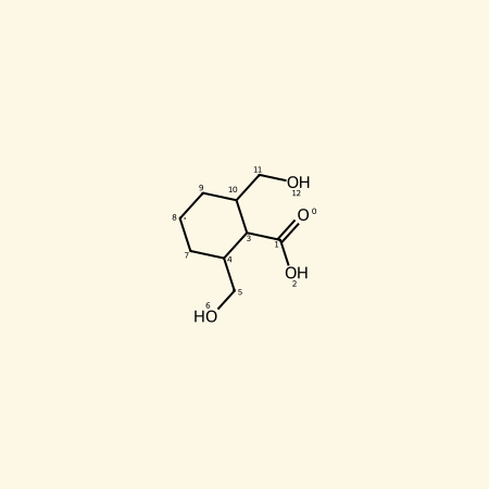 O=C(O)C1C(CO)C[CH]CC1CO